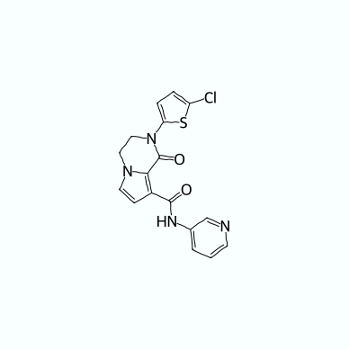 O=C(Nc1cccnc1)c1ccn2c1C(=O)N(c1ccc(Cl)s1)CC2